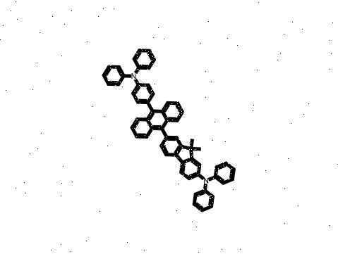 CC1(C)c2cc(-c3c4ccccc4c(-c4ccc(N(c5ccccc5)c5ccccc5)cc4)c4ccccc34)ccc2-c2ccc(N(c3ccccc3)c3ccccc3)cc21